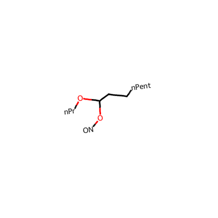 CCCCCCCC(OCCC)ON=O